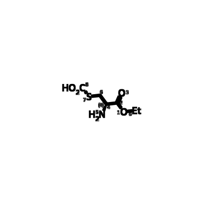 CCOC(=O)[C@@H](N)CSC(=O)O